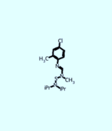 Cc1cc(Cl)ccc1/N=C/N(C)SN(C(C)C)C(C)C